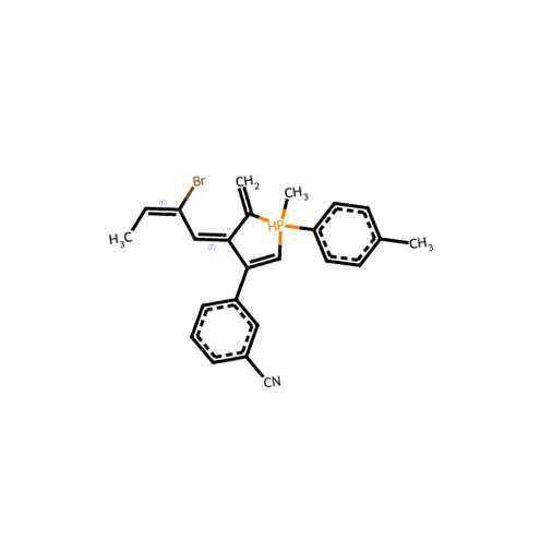 C=C1/C(=C\C(Br)=C/C)C(c2cccc(C#N)c2)=C[PH]1(C)c1ccc(C)cc1